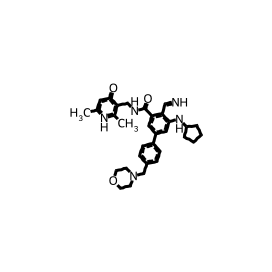 Cc1cc(=O)c(CNC(=O)c2cc(-c3ccc(CN4CCOCC4)cc3)cc(NC3CCCC3)c2C=N)c(C)[nH]1